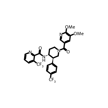 COc1cc(C(=O)N2CC[C@@H](NC(=O)c3ncccc3C(F)(F)F)[C@H](c3ccc(C(F)(F)F)cc3)C2)cnc1OC